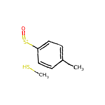 CS.Cc1ccc([S+]=O)cc1